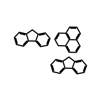 C1=Cc2cccc3cccc(c23)C1.c1ccc2c(c1)Cc1ccccc1-2.c1ccc2c(c1)Cc1ccccc1-2